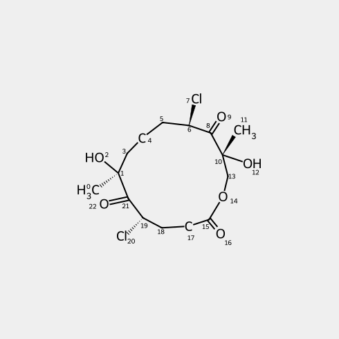 C[C@]1(O)CCC[C@@H](Cl)C(=O)[C@](C)(O)COC(=O)CC[C@H](Cl)C1=O